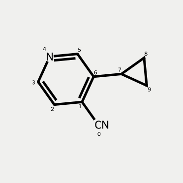 N#Cc1ccncc1C1CC1